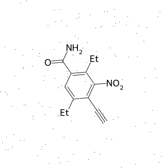 C#Cc1c(CC)cc(C(N)=O)c(CC)c1[N+](=O)[O-]